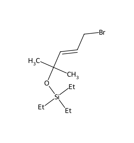 CC[Si](CC)(CC)OC(C)(C)C=CCBr